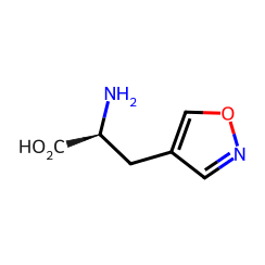 N[C@@H](Cc1cnoc1)C(=O)O